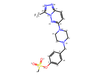 CS(=O)(=O)Oc1ccc(CN2CCN(c3ccc4nnc(C(F)(F)F)n4n3)CC2)cc1